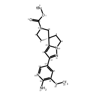 CC(C)(C)OC(=O)N1CC[C@@]2(CCn3nc(-c4cnc(N)c(SC(F)(F)F)c4)cc32)C1